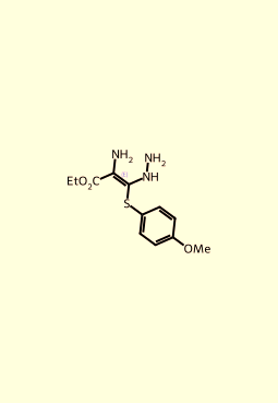 CCOC(=O)/C(N)=C(/NN)Sc1ccc(OC)cc1